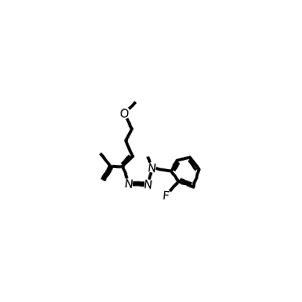 C=C(C)C(=C\CCOC)/N=N\N(C)c1ccccc1F